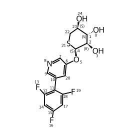 O[C@@H]1[C@@H](O)[C@@H](Oc2cncc(-c3c(F)cc(F)cc3F)c2)SC[C@H]1O